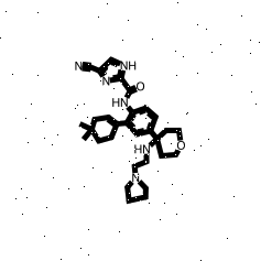 CC1(C)CC=C(c2cc(C3(NCCN4CCCC4)CCOCC3)ccc2NC(=O)c2nc(C#N)c[nH]2)CC1